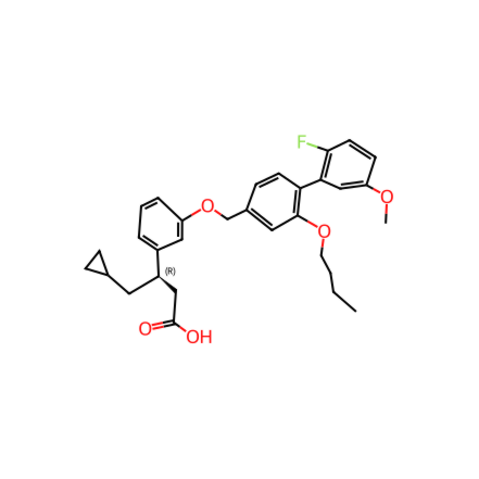 CCCCOc1cc(COc2cccc([C@@H](CC(=O)O)CC3CC3)c2)ccc1-c1cc(OC)ccc1F